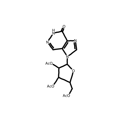 CC(=O)OCC1OC(n2cnc3c(=O)[nH]ncc32)C(OC(C)=O)C1OC(C)=O